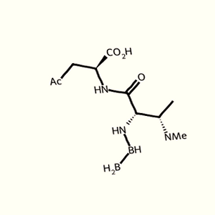 BBN[C@H](C(=O)N[C@@H](CC(C)=O)C(=O)O)[C@H](C)NC